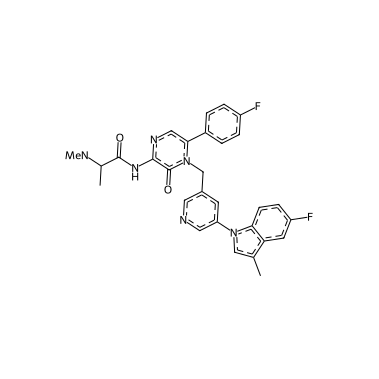 CNC(C)C(=O)Nc1ncc(-c2ccc(F)cc2)n(Cc2cncc(-n3cc(C)c4cc(F)ccc43)c2)c1=O